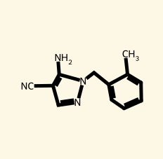 Cc1ccccc1Cn1ncc(C#N)c1N